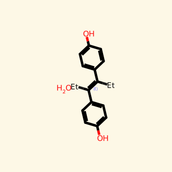 CC/C(=C(/CC)c1ccc(O)cc1)c1ccc(O)cc1.O